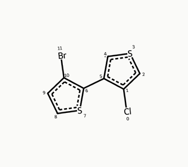 Clc1cs[c]c1-c1sccc1Br